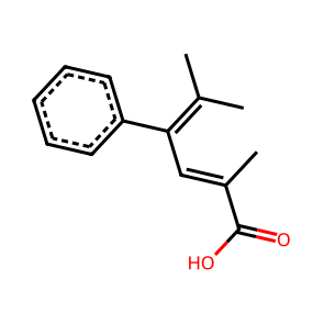 CC(C)=C(/C=C(\C)C(=O)O)c1ccccc1